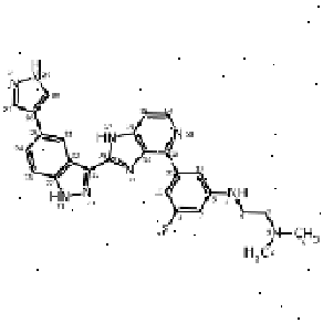 CN(C)CCNc1cc(F)cc(-c2nccc3[nH]c(-c4n[nH]c5ccc(-c6cn[nH]c6)cc45)nc23)c1